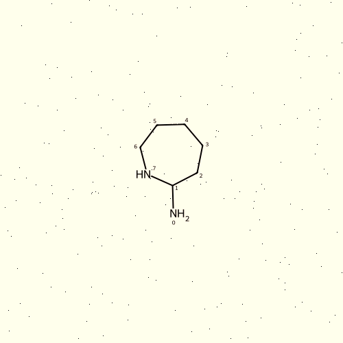 NC1CCCCCN1